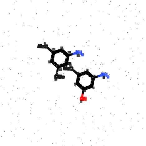 COc1cc(N)cc(O)c1.COc1cc(N)cc(OC)c1